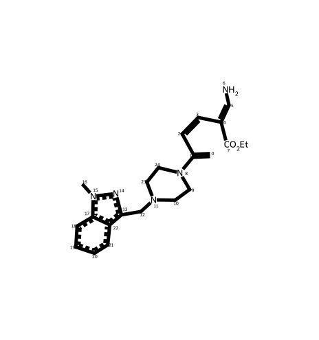 C=C(/C=C\C(=C/N)C(=O)OCC)N1CCN(Cc2nn(C)c3ccccc23)CC1